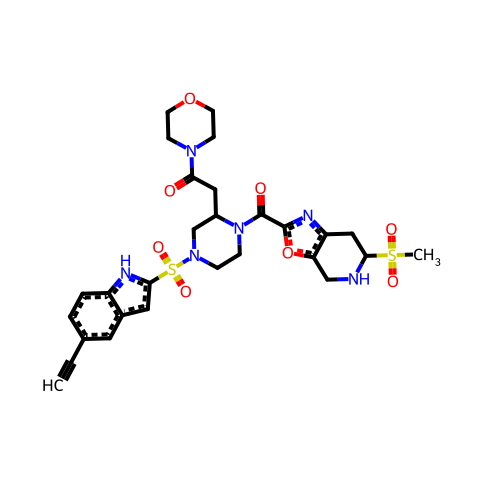 C#Cc1ccc2[nH]c(S(=O)(=O)N3CCN(C(=O)c4nc5c(o4)CNC(S(C)(=O)=O)C5)C(CC(=O)N4CCOCC4)C3)cc2c1